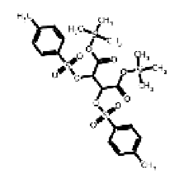 Cc1ccc(S(=O)(=O)OC(C(=O)O[Si](C)(C)C)C(OS(=O)(=O)c2ccc(C)cc2)C(=O)O[Si](C)(C)C)cc1